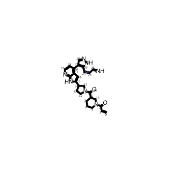 C=CC(=O)N1CCCC(C(=O)N2CCC(c3cc4c(-c5cn[nH]c5/C=C\C=N)ccnc4[nH]3)C2)C1